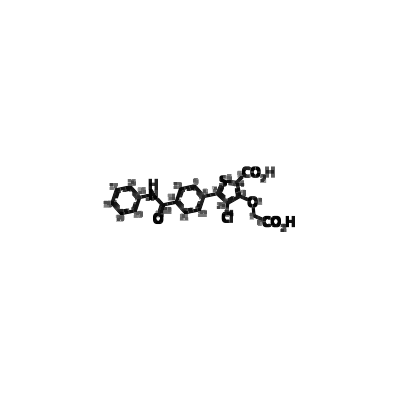 O=C(O)COc1c(C(=O)O)sc(-c2ccc(C(=O)Nc3ccccc3)cc2)c1Cl